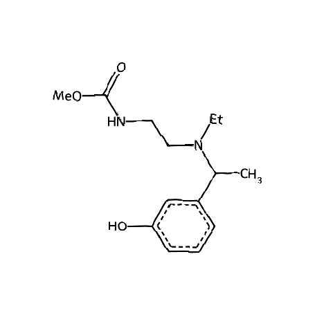 CCN(CCNC(=O)OC)C(C)c1cccc(O)c1